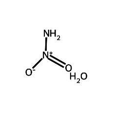 N[N+](=O)[O-].O